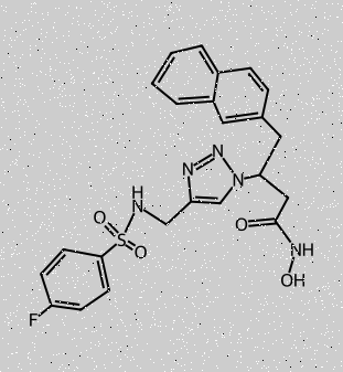 O=C(CC(Cc1ccc2ccccc2c1)n1cc(CNS(=O)(=O)c2ccc(F)cc2)nn1)NO